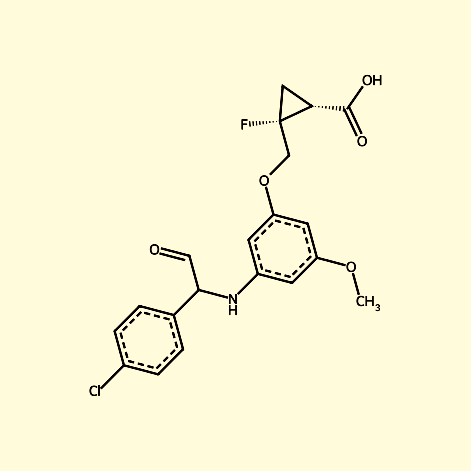 COc1cc(NC(C=O)c2ccc(Cl)cc2)cc(OC[C@@]2(F)C[C@@H]2C(=O)O)c1